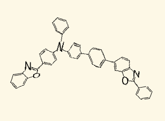 c1ccc(-c2nc3ccc(-c4ccc(-c5ccc(N(c6ccccc6)c6ccc(-c7nc8ccccc8o7)cc6)cc5)cc4)cc3o2)cc1